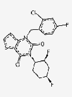 O=c1c2sccc2n(Cc2ccc(F)cc2Cl)c(=O)n1[C@@H]1CC[C@H](F)C[C@@H]1F